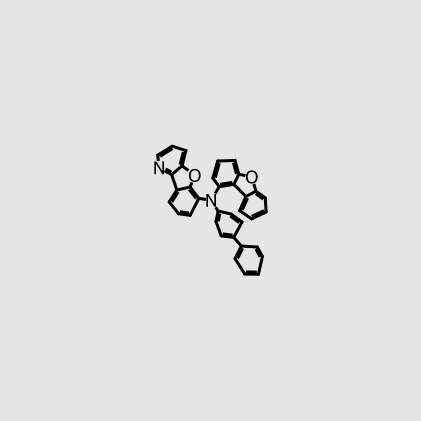 c1ccc(-c2ccc(N(c3cccc4c3oc3cccnc34)c3cccc4oc5ccccc5c34)cc2)cc1